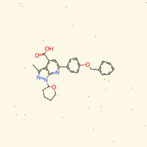 Cc1nn(C2CCCCO2)c2nc(-c3ccc(OCc4ccccc4)cc3)cc(C(=O)O)c12